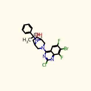 CC(C)(c1ccccc1)N1C2CC(O)C1CN(c1nc(Cl)nc3c(F)c(Br)c(F)cc13)C2